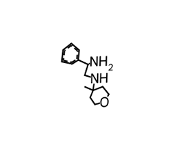 CC1(NC[C@H](N)c2ccccc2)CCOCC1